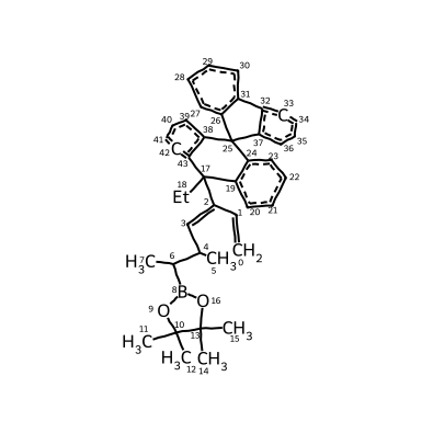 C=C/C(=C\C(C)C(C)B1OC(C)(C)C(C)(C)O1)C1(CC)c2ccccc2C2(c3ccccc3-c3ccccc32)c2ccccc21